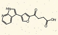 O=C(O)CCC(=O)c1cc(-c2c[nH]c3ncccc23)co1